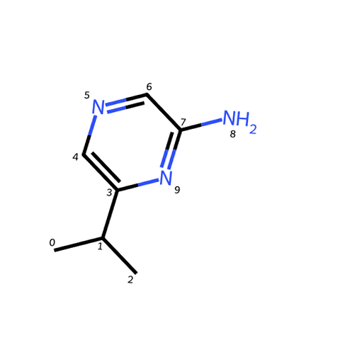 CC(C)c1cncc(N)n1